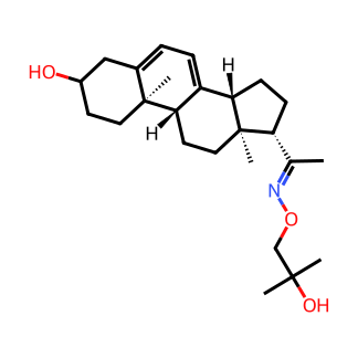 CC(=NOCC(C)(C)O)[C@H]1CC[C@H]2C3=CC=C4CC(O)CC[C@]4(C)[C@H]3CC[C@]12C